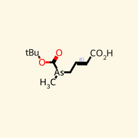 C[As](C/C=C/C(=O)O)C(=O)OC(C)(C)C